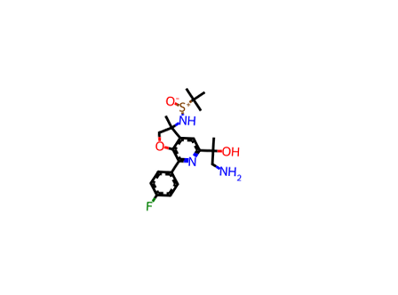 CC(O)(CN)c1cc2c(c(-c3ccc(F)cc3)n1)OCC2(C)N[S+]([O-])C(C)(C)C